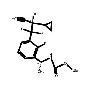 C#C[C@](O)(C1CC1)C(F)(F)c1cccc([C@@H](C)NC(=O)OC(C)(C)C)c1F